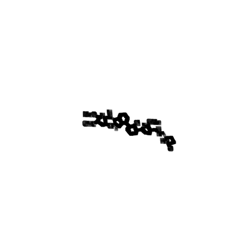 COc1nc(N[C@H]2CCc3c(-c4cccc(-c5ccc(CNC[C@@H]6CCC(=O)N6)c(OC)n5)c4Cl)cccc32)c(C(F)(F)F)cc1C=O